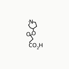 O=C(O)CCC(=O)OC1CC[N]CC1